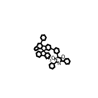 CN1C(c2cccc(-c3ccc4c(c3)C3(c5ccccc5-c5ccccc53)c3c-4c(-c4ccccc4)cc4ccccc34)c2)=c2oc3ccccc3c2=NC1c1ccccc1